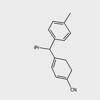 Cc1ccc(C(C2=CC=C(C#N)CC2)C(C)C)cc1